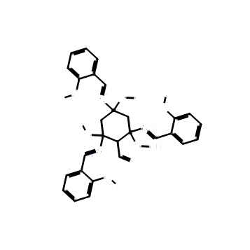 COc1ccccc1/C=N/C1(OC)CC(/N=C/c2ccccc2OC)(OC)C(C=O)C(/N=C/c2ccccc2OC)(OC)C1